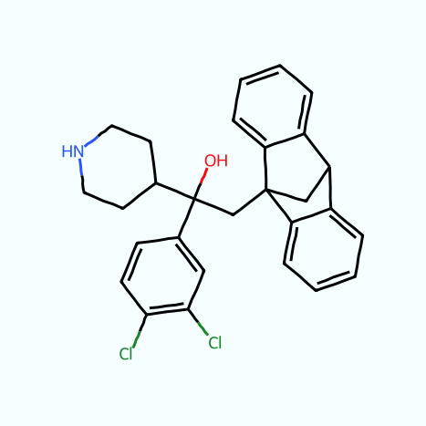 OC(CC12CC(c3ccccc31)c1ccccc12)(c1ccc(Cl)c(Cl)c1)C1CCNCC1